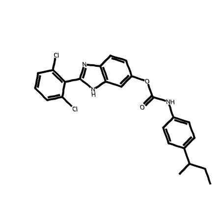 CCC(C)c1ccc(NC(=O)Oc2ccc3nc(-c4c(Cl)cccc4Cl)[nH]c3c2)cc1